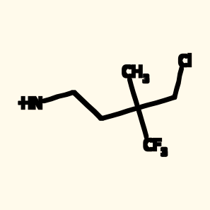 CC(CCl)(CC[NH])C(F)(F)F